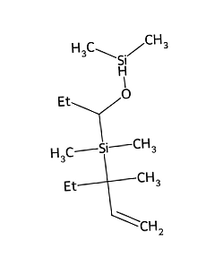 C=CC(C)(CC)[Si](C)(C)C(CC)O[SiH](C)C